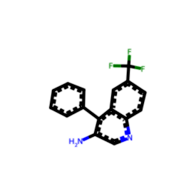 Nc1cnc2ccc(C(F)(F)F)cc2c1-c1ccccc1